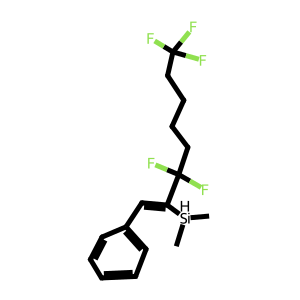 C[SiH](C)C(=Cc1ccccc1)C(F)(F)CCCCC(F)(F)F